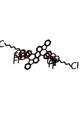 CCCCCCCCCCc1ccc(C2c3ccccc3-c3ccc4c(-c5ccc(OS(=O)(=O)C(F)(F)F)cc5)c5c6c(ccc5c(-c5ccc(OS(=O)(=O)C(F)(F)F)cc5)c4c32)-c2ccccc2C6c2ccc(CCCCCCCCCC)cc2)cc1